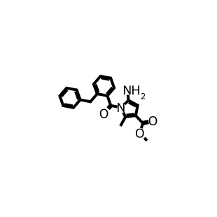 COC(=O)c1cc(N)n(C(=O)c2ccccc2Cc2ccccc2)c1C